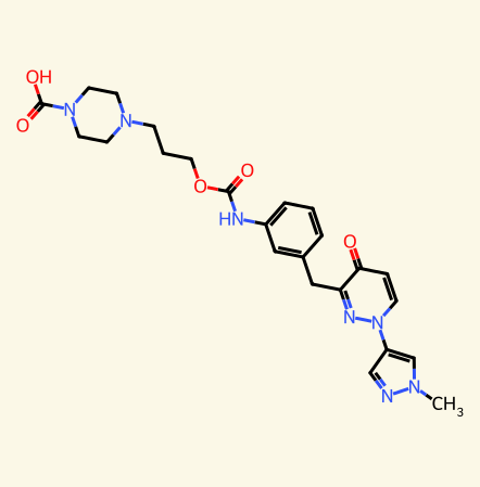 Cn1cc(-n2ccc(=O)c(Cc3cccc(NC(=O)OCCCN4CCN(C(=O)O)CC4)c3)n2)cn1